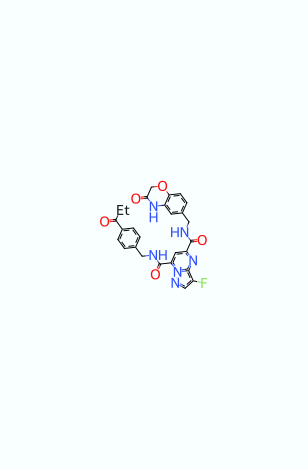 CCC(=O)c1ccc(CNC(=O)c2cc(C(=O)NCc3ccc4c(c3)NC(=O)CO4)nc3c(F)cnn23)cc1